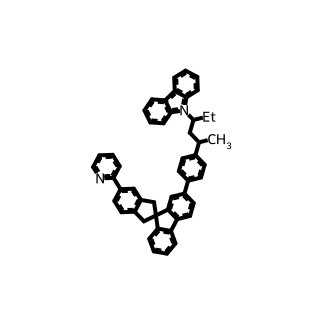 CCC(CC(C)c1ccc(-c2ccc3c(c2)C2(Cc4ccc(-c5ccccn5)cc4C2)c2ccccc2-3)cc1)n1c2ccccc2c2ccccc21